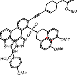 COc1ccc(CN(Cc2ccc(OC)cc2)S(=O)(=O)c2c(C#CC3=CCC(NC(=O)OC(C)(C)C)CC3)ccc(-c3cccc4sc(NC(=O)O)nc34)c2-c2nnn(Cc3ccc(OC)cc3)n2)cc1